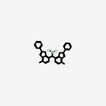 Cc1ccc([CH](c2ccc(C)c3c2CC(c2ccccc2)=C3)[Zr]([Cl])[Cl])c2c1C=C(c1ccccc1)C2